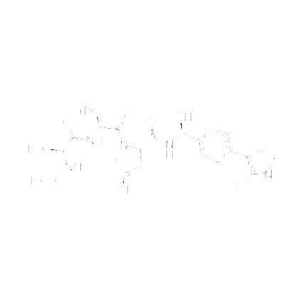 Cc1ncsc1-c1ccc([C@H](C)NC(=O)[C@@H]2C[C@@H](O)CN2C(=O)[C@@H](NC(=O)[C@H](C)NC(=O)O)C(C)(C)C)cc1